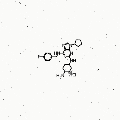 Cl.Cl.NC1CCC(Nc2nc(NCc3ccc(F)cc3)c3ncn(C4CCCC4)c3n2)CC1